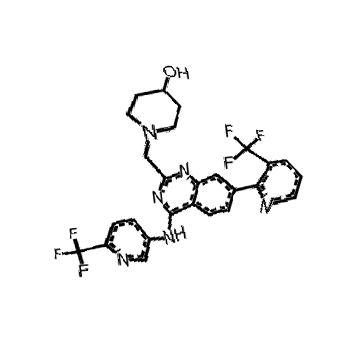 OC1CCN(Cc2nc(Nc3ccc(C(F)(F)F)nc3)c3ccc(-c4ncccc4C(F)(F)F)cc3n2)CC1